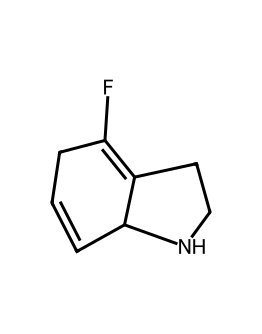 FC1=C2CCNC2C=CC1